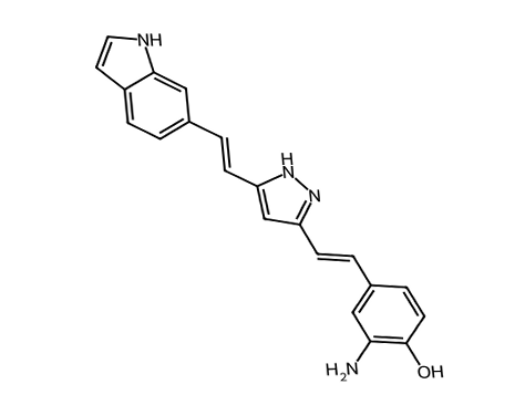 Nc1cc(/C=C/c2cc(/C=C/c3ccc4cc[nH]c4c3)[nH]n2)ccc1O